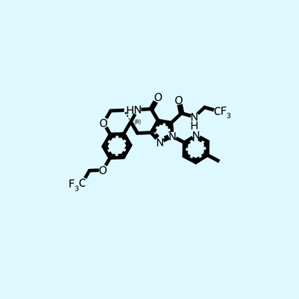 Cc1ccc(-n2nc3c(c2C(=O)NCC(F)(F)F)C(=O)N[C@@]2(CCOc4cc(OCC(F)(F)F)ccc42)C3)nc1